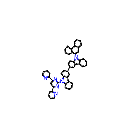 c1ccc(-c2cc(-c3ccccn3)nc(-n3c4ccccc4c4cc(-c5ccc6c(c5)c5ccccc5n6-c5cc6ccccc6c6ccccc56)ccc43)n2)nc1